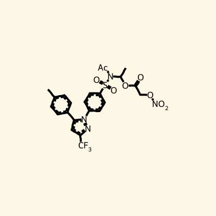 CC(=O)N(C(C)OC(=O)CO[N+](=O)[O-])S(=O)(=O)c1ccc(-n2nc(C(F)(F)F)cc2-c2ccc(C)cc2)cc1